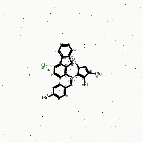 CCC1=[C](/[Zr+2](=[CH]/c2ccc(C(C)(C)C)cc2)[c]2cccc3c2Cc2ccccc2-3)C(CC)C=C1C(C)(C)C.[Cl-].[Cl-]